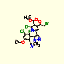 COC(=O)c1c(C(=O)CBr)cc(-c2cnn(C)c2-c2c(F)c(Cl)cc(OC3CC3)c2C#N)nc1Cl